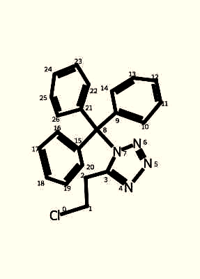 ClCCc1nnnn1C(c1ccccc1)(c1ccccc1)c1ccccc1